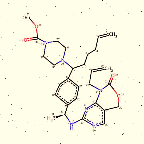 C=CCCCC(c1ccc([C@H](C)Nc2ncc3c(n2)N(CC=C)C(=O)OC3)cc1)N1CCN(C(=O)OC(C)(C)C)CC1